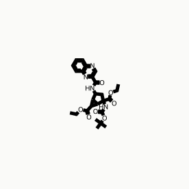 CCOC(=O)C1C2C(NC(=O)c3cnc4ccccc4n3)CC(NC(=O)OC(C)(C)C)(C(=O)OCC)C12